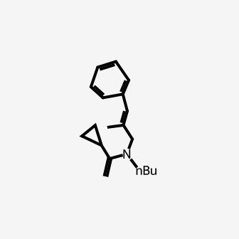 C=C(C1CC1)N(CCCC)C/C(C)=C/c1ccccc1